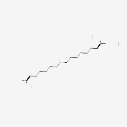 CC(=CCCCCCCCCCCCCC=C(C)C(=O)O)C(=O)O